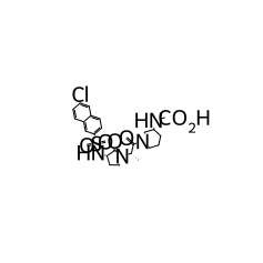 C[C@@H](C(=O)N1CCC[C@H](NC(=O)O)C1)N1CC[C@H](NS(=O)(=O)c2ccc3cc(Cl)ccc3c2)C1=O